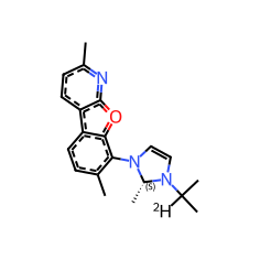 [2H]C(C)(C)N1C=CN(c2c(C)ccc3c2oc2nc(C)ccc23)[C@H]1C